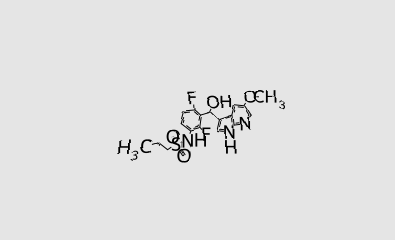 CCCS(=O)(=O)Nc1ccc(F)c(C(O)c2c[nH]c3ncc(OC)cc23)c1F